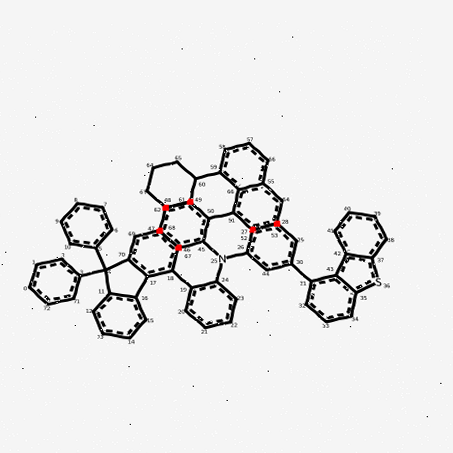 c1ccc(C2(c3ccccc3)c3ccccc3-c3c(-c4ccccc4N(c4cccc(-c5cccc6sc7ccccc7c56)c4)c4ccccc4-c4cccc5cccc(C6CCCCC6)c45)cccc32)cc1